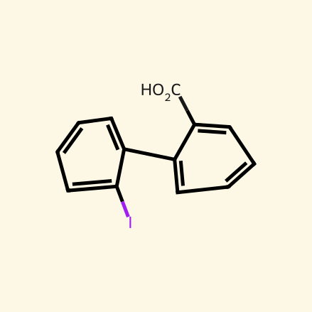 O=C(O)c1ccccc1-c1ccccc1I